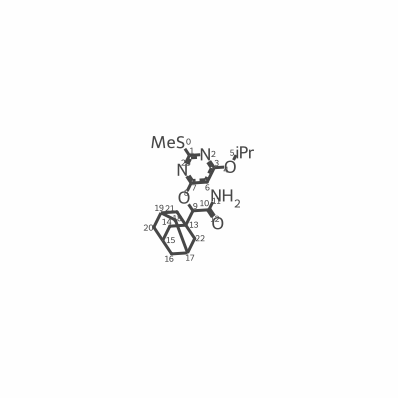 CSc1nc(OC(C)C)cc(OC(C(N)=O)C23CC4CC(CC(C4)C2)C3)n1